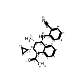 CC(=O)N1c2ccccc2[C@H](Nc2ccccc2C#N)[C@@H](C)[C@H]1C1CC1